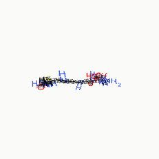 Nc1ncnc2c1ncn2[C@@H]1O[C@H](CNC(=O)CCCCCNCCCCCCNCCCCC[C@@H]2SC[C@@H]3NC(=O)N[C@@H]32)[C@@H](O)[C@H]1O